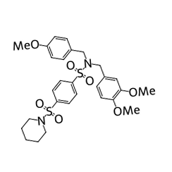 COc1ccc(CN(Cc2ccc(OC)c(OC)c2)S(=O)(=O)c2ccc(S(=O)(=O)N3CCCCC3)cc2)cc1